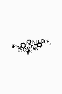 CCN(C(C)C)[C@@H]1CC[C@H](N2CC[C@H](Nc3ncnc4ccc(OC(F)(F)F)cc34)C2=O)[C@@H](CS(=O)(=O)C(C)C)C1